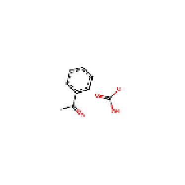 CC(=O)c1ccccc1.O=C(O)O